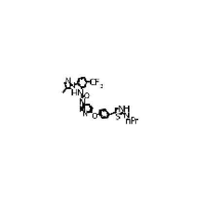 CCCNc1ncc(-c2ccc(Oc3ccc(NC(=O)Nc4cc(C(F)(F)F)ccc4-n4cc(C)cn4)cn3)cc2)s1